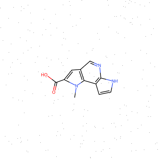 Cn1c(C(=O)O)cc2cnc3[nH]ccc3c21